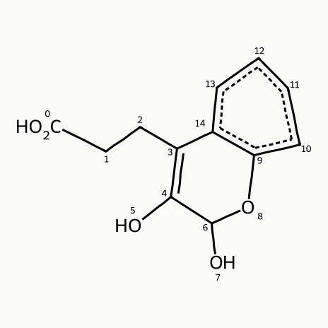 O=C(O)CCC1=C(O)C(O)Oc2ccccc21